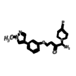 Cn1cc(-c2c[c]cc(OCCC(=O)C(N)N3CCC(F)CC3)c2)cn1